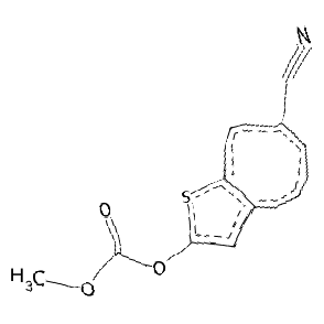 COC(=O)Oc1cc2ccc(C#N)cc2s1